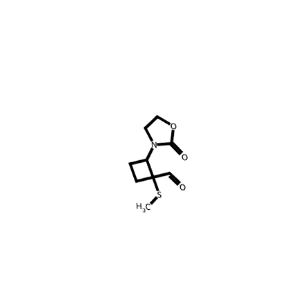 CSC1(C=O)CCC1N1CCOC1=O